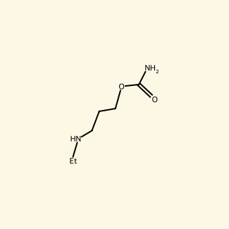 CCNCCCOC(N)=O